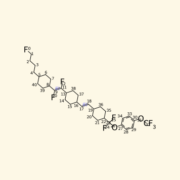 FCCCCC1CCC(/C(F)=C(\F)C2CCC(/C=C/C3CCC(C(F)(F)Oc4ccc(OC(F)(F)F)cc4)CC3)CC2)CC1